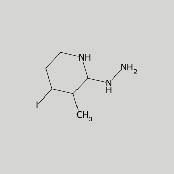 CC1C(I)CCNC1NN